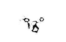 COc1ccc(C(=O)N2c3ccccc3C(Nc3ccc(Br)cc3)CC2C)cc1OC